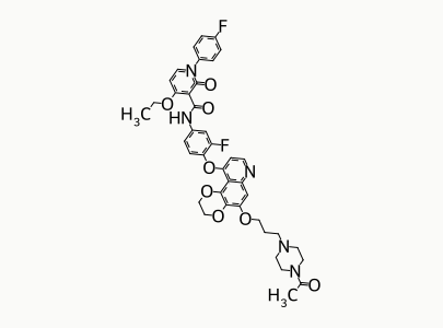 CCOc1ccn(-c2ccc(F)cc2)c(=O)c1C(=O)Nc1ccc(Oc2ccnc3cc(OCCCN4CCN(C(C)=O)CC4)c4c(c23)OCCO4)c(F)c1